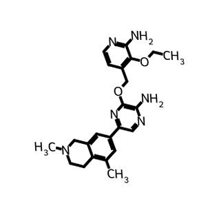 CCOc1c(COc2nc(-c3cc(C)c4c(c3)CN(C)CC4)cnc2N)ccnc1N